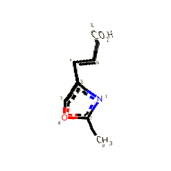 Cc1nc(C=CC(=O)O)co1